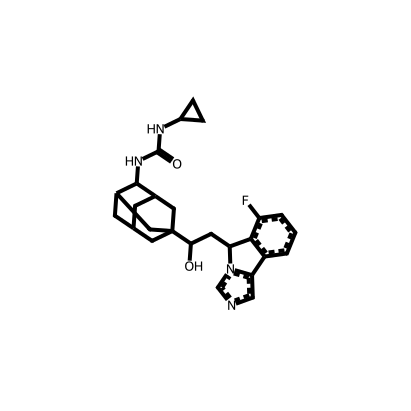 O=C(NC1CC1)NC1C2CC3CC1CC(C(O)CC1c4c(F)cccc4-c4cncn41)(C3)C2